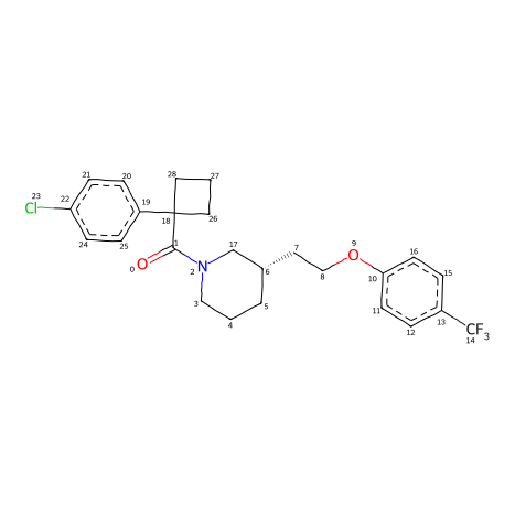 O=C(N1CCC[C@@H](CCOc2ccc(C(F)(F)F)cc2)C1)C1(c2ccc(Cl)cc2)CCC1